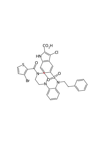 O=C(O)c1[nH]c2ccc(S(=O)(=O)N(CCc3ccccc3)c3ccccc3N3CCN(C(=O)c4sccc4Br)CC3)cc2c1Cl